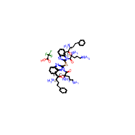 C[C@](N)(CCCN)C(=O)n1c(Sc2nc3cccc(C(=O)[C@@H](N)CCc4ccccc4)c3n2C(=O)[C@@](C)(N)CCCN)nc2cccc(C(=O)[C@@H](N)CCc3ccccc3)c21.O=C(O)C(F)(F)F